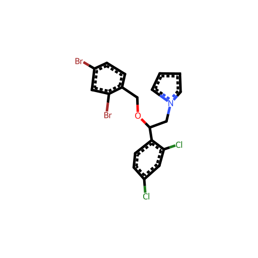 Clc1ccc(C(Cn2cccc2)OCc2ccc(Br)cc2Br)c(Cl)c1